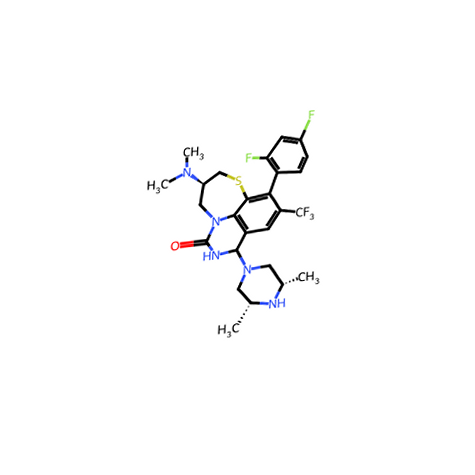 C[C@@H]1CN(C2NC(=O)N3C[C@@H](N(C)C)CSc4c(-c5ccc(F)cc5F)c(C(F)(F)F)cc2c43)C[C@H](C)N1